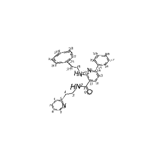 O=C(NCCc1ccccn1)c1ccc(-c2ccccc2)nc1NCCc1ccccc1